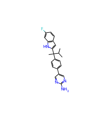 CC(C)C(C)(c1ccc(-c2cnc(N)nc2)cc1)c1cc2ccc(F)cc2[nH]1